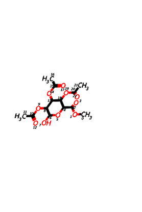 COC(=O)C1OC(O)C(OC(C)=O)C(OC(C)=O)C1OC(C)=O